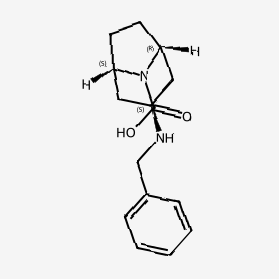 O=C(O)N1[C@@H]2CC[C@H]1C[C@H](NCc1ccccc1)C2